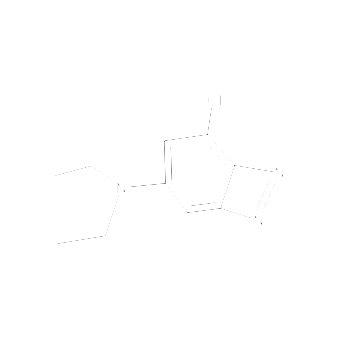 CCN(CC)c1cc(O)c2c(c1)N=N2